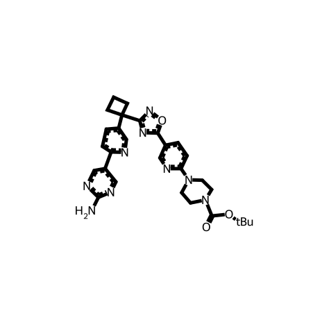 CC(C)(C)OC(=O)N1CCN(c2ccc(-c3nc(C4(c5ccc(-c6cnc(N)nc6)nc5)CCC4)no3)cn2)CC1